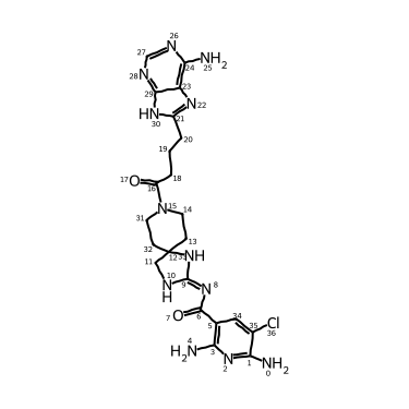 Nc1nc(N)c(C(=O)/N=C2\NCC3(CCN(C(=O)CCCc4nc5c(N)ncnc5[nH]4)CC3)N2)cc1Cl